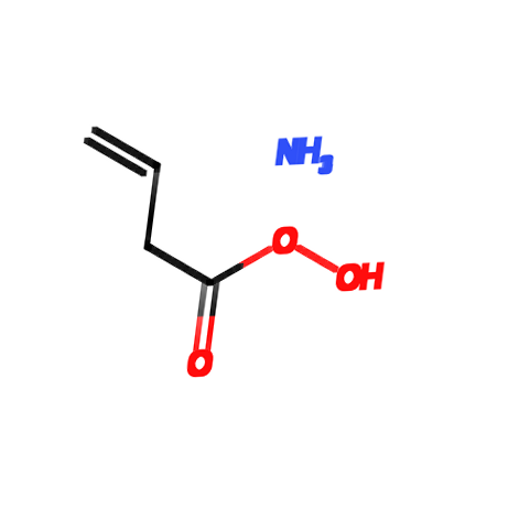 C=CCC(=O)OO.N